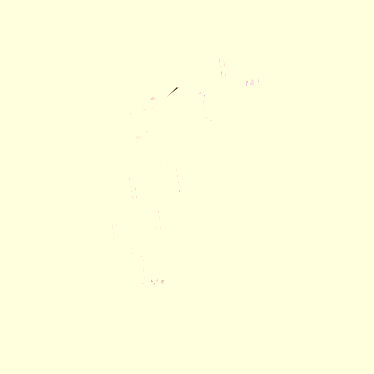 COc1ccc2cc([C@@H]3C[C@H]3CN(O)C(N)=O)ccc2c1